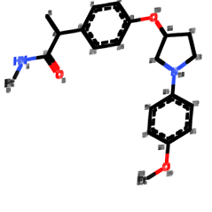 CCNC(=O)C(C)c1ccc(OC2CCN(c3ccc(OCC)cc3)C2)cc1